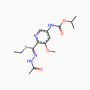 CCS/C(=N\NC(C)=O)c1ncc(NC(=O)OC(C)C)cc1OC